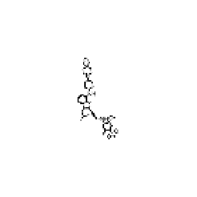 COc1cc(S(C)(=O)=O)c(F)cc1NCC#Cc1sc2c(NC3CCC(N4CCC5(CC4)COC5)CC3)cccc2c1CC(F)F